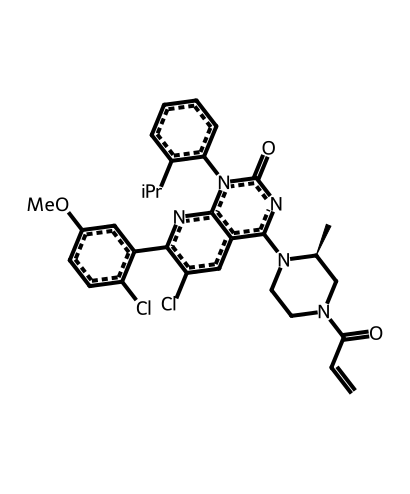 C=CC(=O)N1CCN(c2nc(=O)n(-c3ccccc3C(C)C)c3nc(-c4cc(OC)ccc4Cl)c(Cl)cc23)[C@@H](C)C1